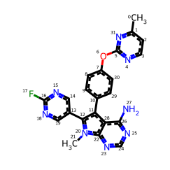 Cc1ccnc(Oc2ccc(-c3c(-c4cnc(F)nc4)n(C)c4ncnc(N)c34)cc2)n1